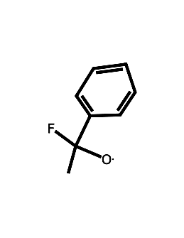 CC([O])(F)c1ccccc1